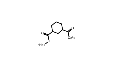 CCCCCCOC(=O)C1CCCC(C(=O)OC)C1